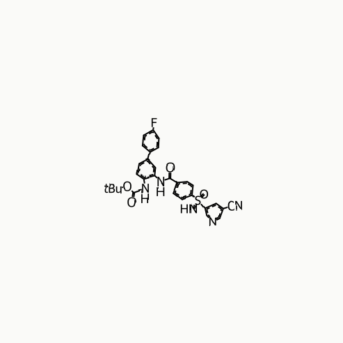 CC(C)(C)OC(=O)Nc1ccc(-c2ccc(F)cc2)cc1NC(=O)c1ccc(S(=N)(=O)c2cncc(C#N)c2)cc1